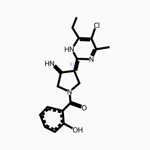 CCC1=C(Cl)C(C)=N/C(=C2\CN(C(=O)c3ccccc3O)CC2=N)N1